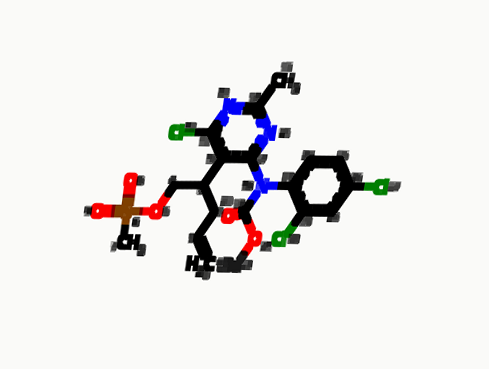 C=CCC(COS(C)(=O)=O)c1c(Cl)nc(C)nc1N(C(=O)OC(C)(C)C)c1ccc(Cl)cc1Cl